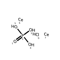 Cl.O=P(O)(O)O.[Ce].[Ce]